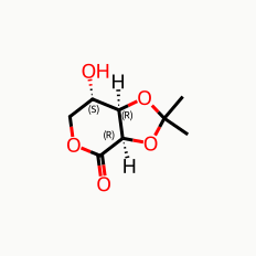 CC1(C)O[C@@H]2[C@@H](O)COC(=O)[C@@H]2O1